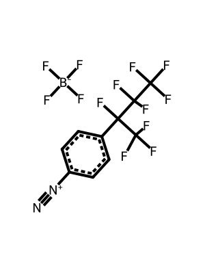 F[B-](F)(F)F.N#[N+]c1ccc(C(F)(C(F)(F)F)C(F)(F)C(F)(F)F)cc1